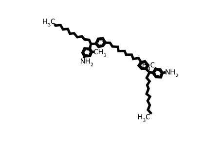 CCCCCCCCCCCC(c1ccc(CCCCCCCCCc2ccc(C(CCCCCCCCCCC)c3ccc(N)cc3C)cc2)cc1)c1ccc(N)cc1C